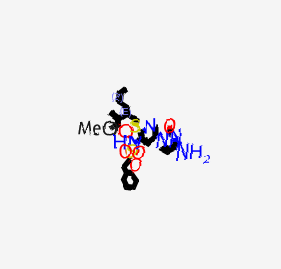 C=C(C(=O)OC)/C(=C\C=C/C)CSc1ncc(-n2ccc(N)nc2=O)cc1NS(=O)(=O)c1cc2ccccc2o1